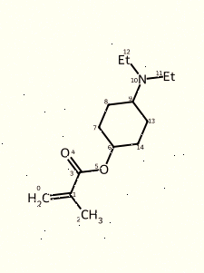 C=C(C)C(=O)OC1CCC(N(CC)CC)CC1